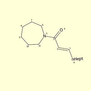 CCCCCCCC=CC(=O)N1CCCCCC1